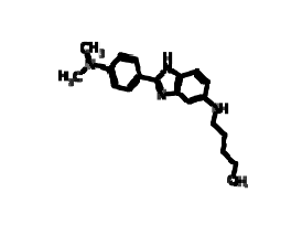 CN(C)c1ccc(-c2nc3cc(NCCCCO)ccc3[nH]2)cc1